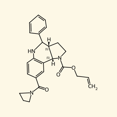 C=CCOC(=O)N1CC[C@H]2C(c3ccccc3)Nc3ccc(C(=O)N4CCC4)cc3[C@H]21